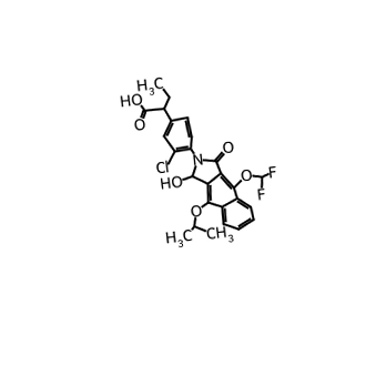 CCC(C(=O)O)c1ccc(N2C(=O)c3c(c(OC(C)C)c4ccccc4c3OC(F)F)C2O)c(Cl)c1